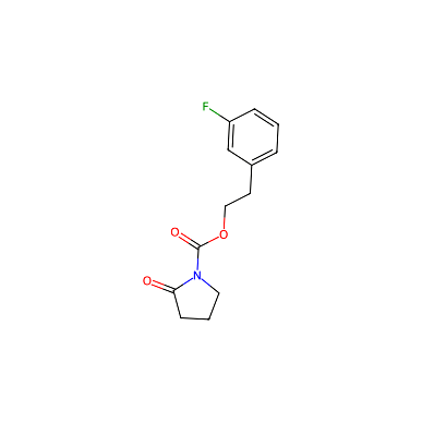 O=C1CCCN1C(=O)OCCc1cccc(F)c1